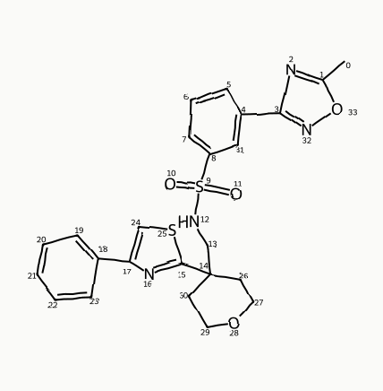 Cc1nc(-c2cccc(S(=O)(=O)NCC3(c4nc(-c5ccccc5)cs4)CCOCC3)c2)no1